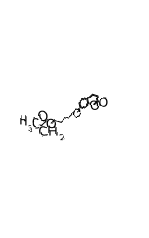 C=C(C)C(=O)OCCCCCOc1ccc2ccc(=O)oc2c1